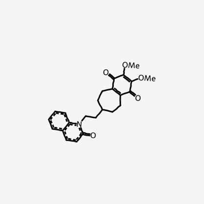 COC1=C(OC)C(=O)C2=C(CCC(CCn3c(=O)ccc4ccccc43)CC2)C1=O